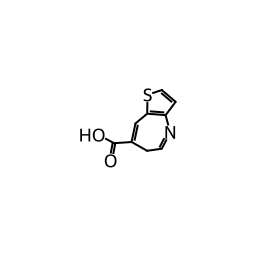 O=C(O)C1=Cc2sccc2N=CC1